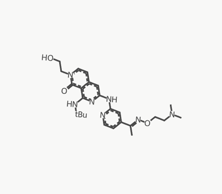 CC(=NOCCN(C)C)c1ccnc(Nc2cc3ccn(CCO)c(=O)c3c(NC(C)(C)C)n2)c1